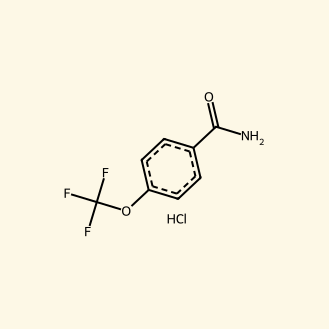 Cl.NC(=O)c1ccc(OC(F)(F)F)cc1